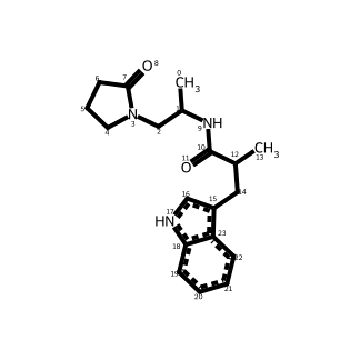 CC(CN1CCCC1=O)NC(=O)C(C)Cc1c[nH]c2ccccc12